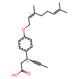 CC#C[C@@H](CC(=O)O)c1ccc(OC/C=C(/C)CCC=C(C)C)cc1